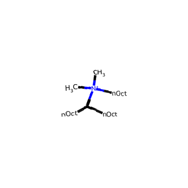 CCCCCCCCC(CCCCCCCC)[N+](C)(C)CCCCCCCC